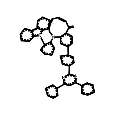 C=C1/C=C\C=C/CN(c2ccccc2-n2c3ccccc3c3ccccc32)c2cc(-c3ccc(-c4nc(-c5ccccc5)cc(-c5ccccc5)n4)cc3)ccc21